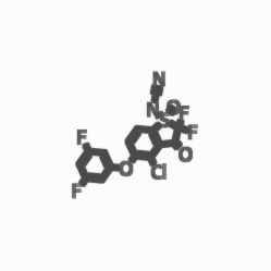 N#CN=S1(=O)c2ccc(Oc3cc(F)cc(F)c3)c(Cl)c2C(=O)C1(F)F